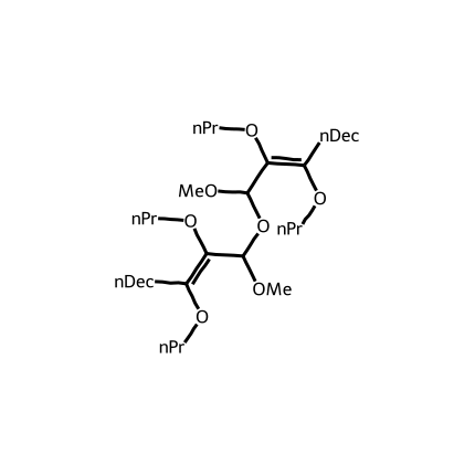 CCCCCCCCCCC(OCCC)=C(OCCC)C(OC)OC(OC)C(OCCC)=C(CCCCCCCCCC)OCCC